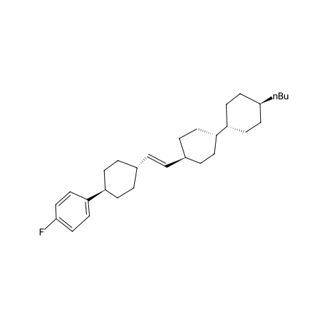 CCCC[C@H]1CC[C@H]([C@H]2CC[C@H](C=C[C@H]3CC[C@H](c4ccc(F)cc4)CC3)CC2)CC1